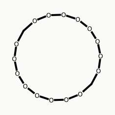 C1OOOOOOOOCOOOOOOOO1